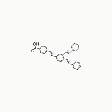 O=C(O)c1ccc(/C=C/c2ccc(/C=C/c3ccccc3)c(/C=C/c3ccccc3)c2)cc1